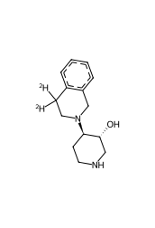 [2H]C1([2H])CN([C@@H]2CCNC[C@H]2O)Cc2ccccc21